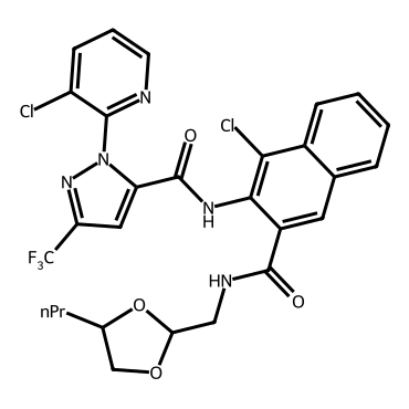 CCCC1COC(CNC(=O)c2cc3ccccc3c(Cl)c2NC(=O)c2cc(C(F)(F)F)nn2-c2ncccc2Cl)O1